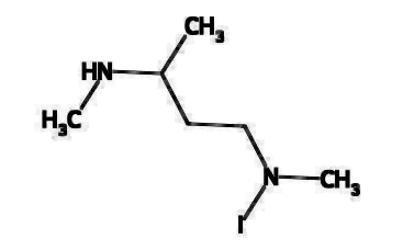 CNC(C)CCN(C)I